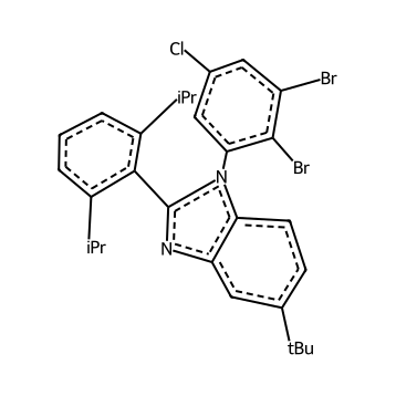 CC(C)c1cccc(C(C)C)c1-c1nc2cc(C(C)(C)C)ccc2n1-c1cc(Cl)cc(Br)c1Br